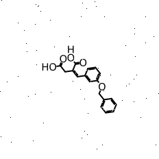 O=C(O)CC(=Cc1cccc(OCc2ccccc2)c1)C(=O)O